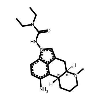 CCN(CC)C(=O)Nn1cc2c3c(c(N)ccc31)[C@H]1CCCN(C)[C@@H]1C2